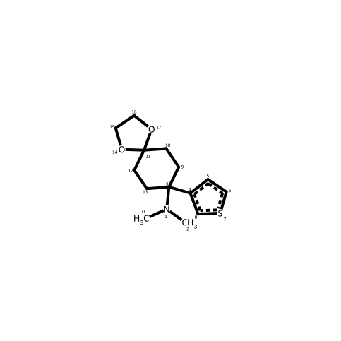 CN(C)C1(c2ccsc2)CCC2(CC1)OCCO2